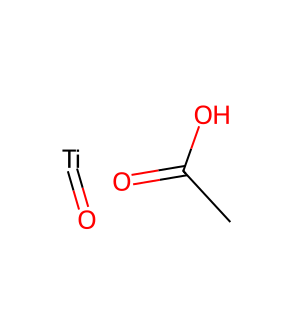 CC(=O)O.[O]=[Ti]